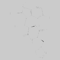 CCCn1c(C)c([C@@H](C)[C@H]2NC(=O)[C@@H](Cc3cscn3)NC2=O)c2cc(Cl)ccc21